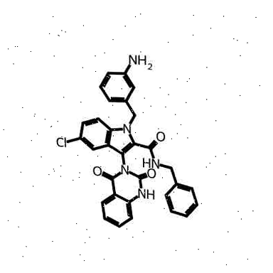 Nc1cccc(Cn2c(C(=O)NCc3ccccc3)c(-n3c(=O)[nH]c4ccccc4c3=O)c3cc(Cl)ccc32)c1